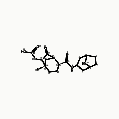 O=C(NC1CC2CCC(C1)N2)[C@@H]1CC[C@@H]2CN1C(=O)N2OS(=O)O